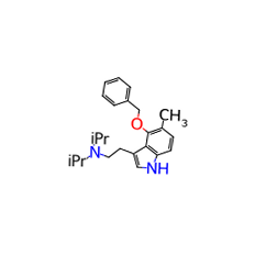 Cc1ccc2[nH]cc(CCN(C(C)C)C(C)C)c2c1OCc1ccccc1